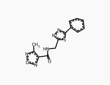 Cc1nonc1C(=O)NCc1nnc(-c2ccccc2)s1